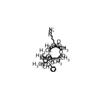 CC[C@H]1OC(=O)[C@@](C)(F)C(=O)[C@H](C)[C@@H](O[C@@H]2O[C@H](C)C[C@H](N(C)C)[C@H]2OC(=O)c2ccccc2)[C@@](C)(OC)C[C@@H](C)C(=O)[C@H](C)[C@H]2N(CCCCN=[N+]=[N-])C(=O)O[C@]12C